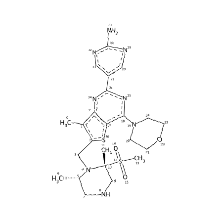 Cc1c(CN2[C@@H](C)CNC[C@@]2(C)S(C)(=O)=O)sc2c(N3CCOCC3)nc(-c3cnc(N)nc3)nc12